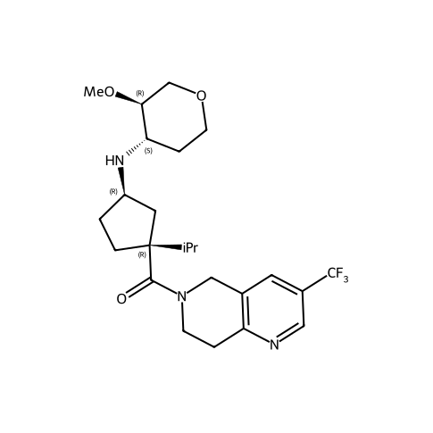 CO[C@H]1COCC[C@@H]1N[C@@H]1CC[C@](C(=O)N2CCc3ncc(C(F)(F)F)cc3C2)(C(C)C)C1